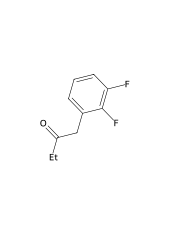 CCC(=O)Cc1cccc(F)c1F